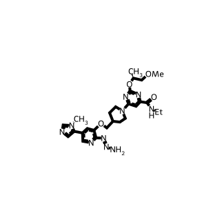 CCNC(=O)c1cc(N2CCC(COc3cc(-c4cncn4C)cnc3N=NN)CC2)nc(O[C@H](C)COC)n1